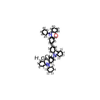 CC1(C)c2ccccc2N(c2ccccc2)c2ccc(-n3c4ccccc4c4cc(-c5ccc6c(c5)Oc5ccccc5N6c5ccccc5)ccc43)cc21